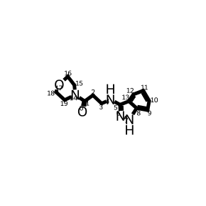 O=C(CCNc1n[nH]c2ccccc12)N1CCOCC1